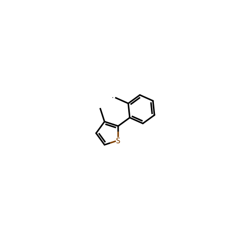 [CH2]c1ccccc1-c1sccc1C